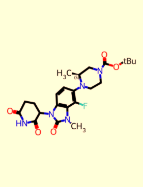 C[C@H]1CN(C(=O)OC(C)(C)C)CCN1c1ccc2c(c1F)n(C)c(=O)n2C1CCC(=O)NC1=O